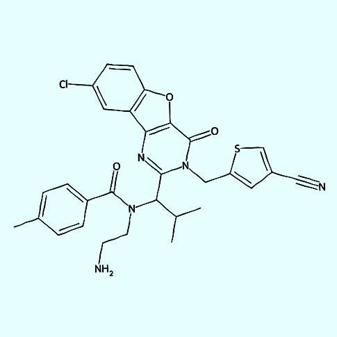 Cc1ccc(C(=O)N(CCN)C(c2nc3c(oc4ccc(Cl)cc43)c(=O)n2Cc2cc(C#N)cs2)C(C)C)cc1